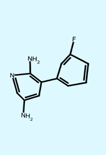 Nc1cnc(N)c(-c2cccc(F)c2)c1